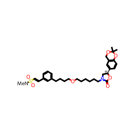 CNS(=O)(=O)C=Cc1cccc(CCCCOCCCCCCN2C[C@@H](c3ccc4c(c3)COC(C)(C)O4)OC2=O)c1